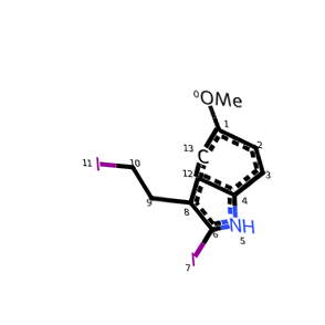 COc1ccc2[nH]c(I)c(CCI)c2c1